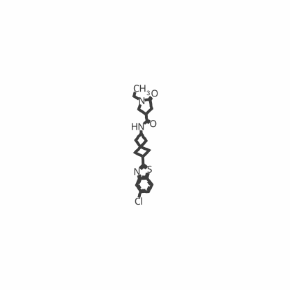 CCN1CC(C(=O)NC2CC3(C2)CC(c2nc4cc(Cl)ccc4s2)C3)CC1=O